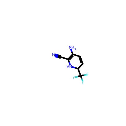 N#CC1=C(N)C=CC(C(F)(F)F)N1